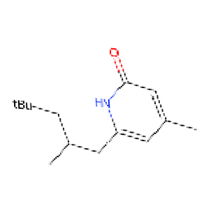 Cc1cc(CC(C)CC(C)(C)C)[nH]c(=O)c1